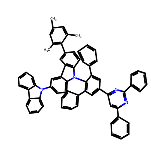 Cc1cc(C)c(-c2ccc3c(c2)c2cc(-n4c5ccccc5c5ccccc54)ccc2n3-c2c(-c3ccccc3)cc(-c3cc(-c4ccccc4)nc(-c4ccccc4)n3)cc2-c2ccccc2)c(C)c1